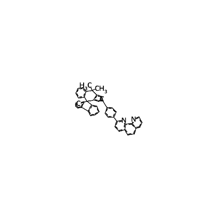 CC1(C)c2ccccc2C2(c3ccccc3-c3ccccc32)c2cc(-c3ccc(-c4ccc5ccc6cccnc6c5n4)cc3)ccc21